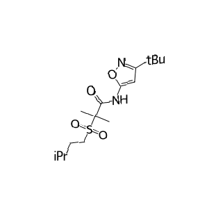 CC(C)CCS(=O)(=O)C(C)(C)C(=O)Nc1cc(C(C)(C)C)no1